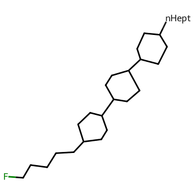 CCCCCCCC1CCC(C2CCC(C3CCC(CCCCCF)CC3)CC2)CC1